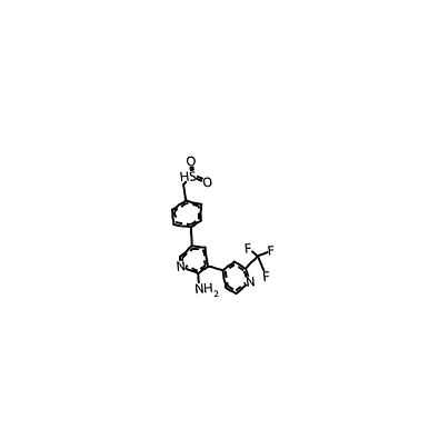 Nc1ncc(-c2ccc(C[SH](=O)=O)cc2)cc1-c1ccnc(C(F)(F)F)c1